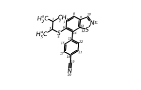 CC(C)C(C)Sc1ccc2cnsc2c1-c1ccc(C#N)cc1